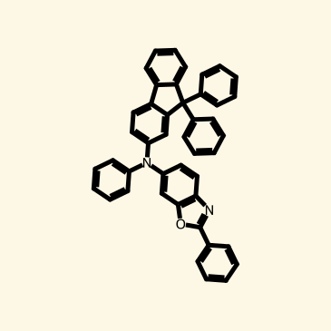 c1ccc(-c2nc3ccc(N(c4ccccc4)c4ccc5c(c4)C(c4ccccc4)(c4ccccc4)c4ccccc4-5)cc3o2)cc1